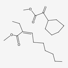 C=C(C(=O)OC)C1CCCCC1.CCCCCCC=C(CC)C(=O)OC